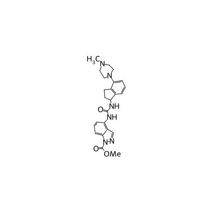 COC(=O)n1ncc2c(NC(=O)NC3CCc4c3cccc4N3CCN(C)CC3)cccc21